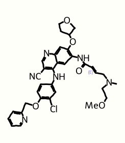 COCCN(C)C/C=C/C(=O)Nc1cc2c(Nc3ccc(OCc4ccccn4)c(Cl)c3)c(C#N)cnc2cc1OC1CCOC1